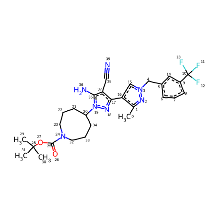 Cc1nn(Cc2cccc(C(F)(F)F)c2)cc1-c1nn(C2CCCN(C(=O)OC(C)(C)C)CCC2)c(N)c1C#N